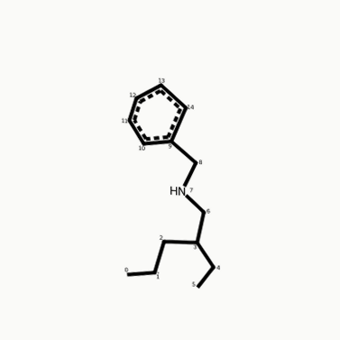 C[CH]CC(CC)CNCc1ccccc1